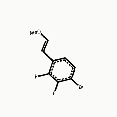 COC=Cc1ccc(Br)c(F)c1F